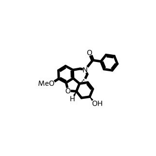 COc1ccc2c3c1O[C@H]1C[C@H](O)C=C[C@]31CCN(C(=O)c1ccccc1)C2